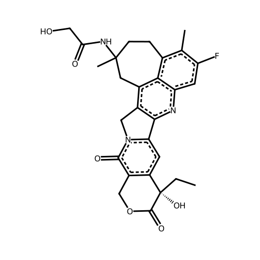 CC[C@@]1(O)C(=O)OCc2c1cc1n(c2=O)Cc2c-1nc1cc(F)c(C)c3c1c2CC(C)(NC(=O)CO)CC3